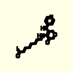 O=C(I)CCCCCCCNC1=C(Nc2ccncc2)COCC1=O